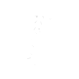 COC(=O)c1cc2nn(C3CC(N4CCN(C(=O)OC(C)(C)C)CC4)C3)cc2cc1N